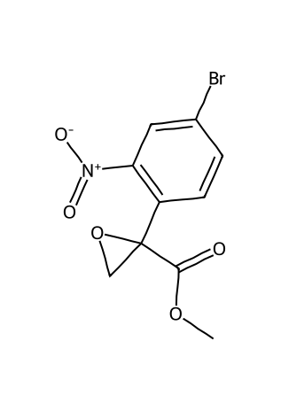 COC(=O)C1(c2ccc(Br)cc2[N+](=O)[O-])CO1